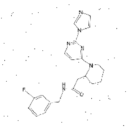 O=C(CC1CCCCN1c1ccnc(-n2ccnc2)n1)NCc1cccc(F)c1